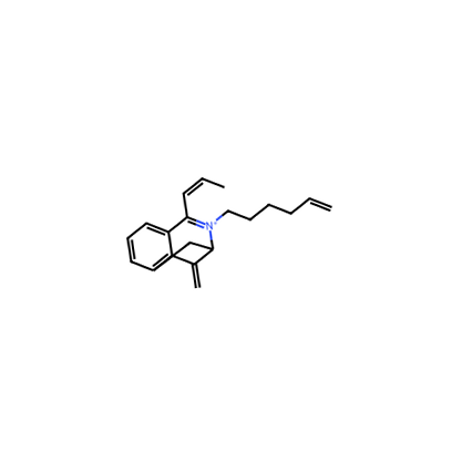 C=CCCCC[N+]1=C(/C=C\C)c2cccc3c2C(=C)C1C3